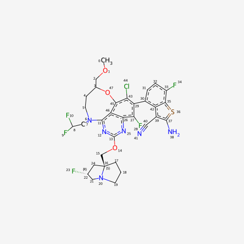 COCC1CCN(CC(F)F)c2nc(OC[C@@]34CCCN3C[C@H](F)C4)nc3c(F)c(-c4ccc(F)c5sc(N)c(C#N)c45)c(Cl)c(c23)O1